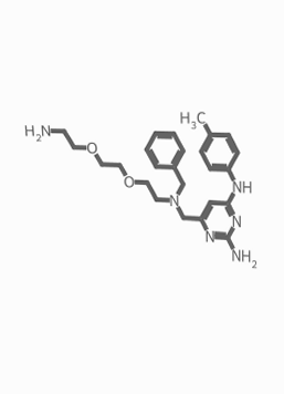 Cc1ccc(Nc2cc(CN(CCOCCOCCN)Cc3ccccc3)nc(N)n2)cc1